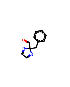 O=CC1(Cc2ccccc2)N=CC=N1